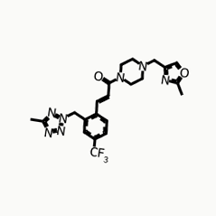 Cc1nnn(Cc2cc(C(F)(F)F)ccc2/C=C/C(=O)N2CCN(Cc3coc(C)n3)CC2)n1